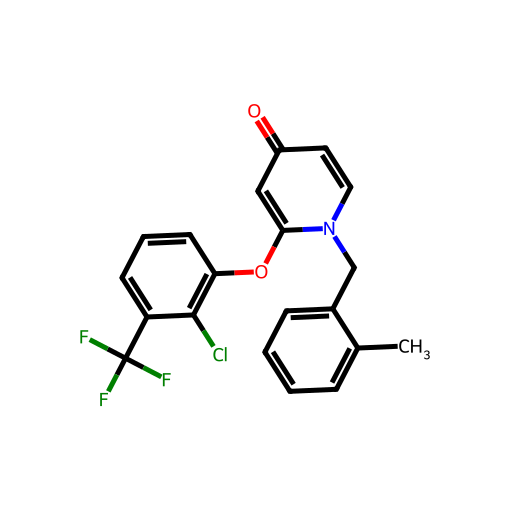 Cc1ccccc1Cn1ccc(=O)cc1Oc1cccc(C(F)(F)F)c1Cl